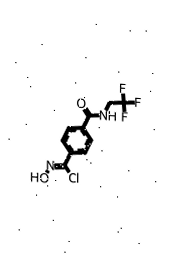 O=C(NCC(F)(F)F)c1ccc(C(Cl)=NO)cc1